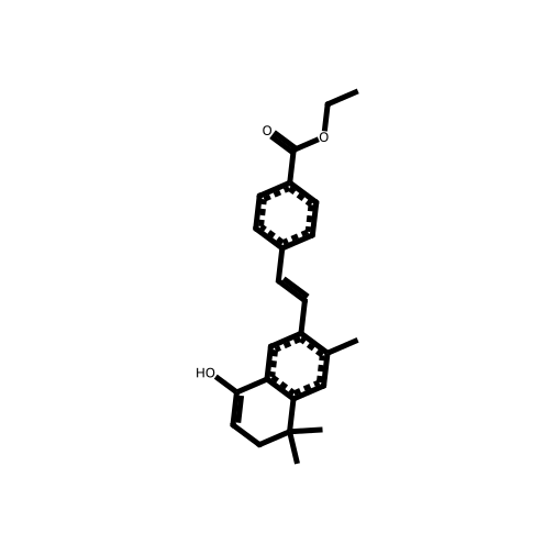 CCOC(=O)c1ccc(C=Cc2cc3c(cc2C)C(C)(C)CC=C3O)cc1